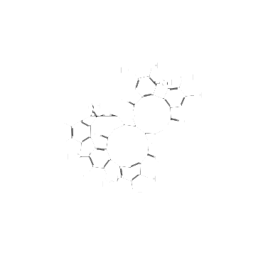 O=C1OC2COC(=O)c3cc(O)c(O)c(O)c3-c3c(cc(O)c(O)c3O)C(=O)OC2C2CC(=O)c3c(c(O)c(O)c(O)c3-c3c(O)c(O)c(O)c4c3C(=O)OC2[C@@H]4O)-c2cc1c(O)c(O)c2O